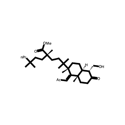 CCCC(C)(C)CC[C@@](C)(CCC(C)(C)[C@]1(C)CC[C@H]2[C@H](CO)C(=O)CC[C@]2(C)/C1=C/C(C)=O)C(=O)OC